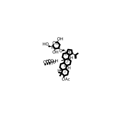 C=C(C)[C@@H]1CC[C@]2(CO[C@@H]3C[C@@H](O)O[C@H](CO)[C@@H]3O)CC[C@]3(C)[C@H](CC[C@@H]4[C@@]5(C)CCC(OC(C)=O)C(C)(C)[C@@H]5CC[C@]43C)[C@@H]12.CC(=O)O.CC(=O)O.CC(=O)O